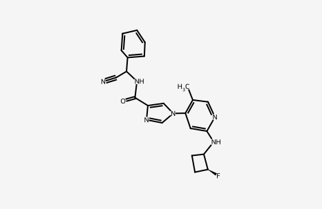 Cc1cnc(NC2CC[C@@H]2F)cc1-n1cnc(C(=O)NC(C#N)c2ccccc2)c1